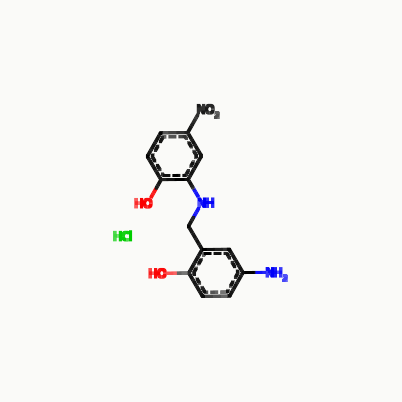 Cl.Nc1ccc(O)c(CNc2cc([N+](=O)[O-])ccc2O)c1